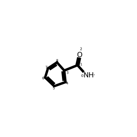 [NH]C(=O)c1ccccc1